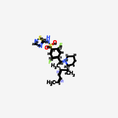 C=C(/C=C\C=C/C)[C@H]1CCCCN1[C@H](C)c1cc(F)c(S(=O)(=O)Nc2ncns2)cc1F